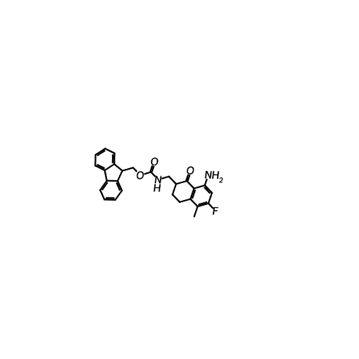 Cc1c(F)cc(N)c2c1CCC(CNC(=O)OCC1c3ccccc3-c3ccccc31)C2=O